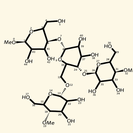 CO[C@H]1OC(CO)[C@@H](O[C@H]2OC(CO[C@H]3OC(CO)[C@@H](OC)C(O)C3O)[C@@H](O[C@H]3OC(CO)[C@@H](OC)C(O)C3O)C(O)C2O)C(O)C1O